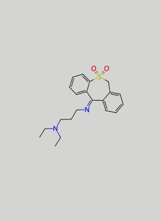 CCN(CC)CCCN=C1c2ccccc2CS(=O)(=O)c2ccccc21